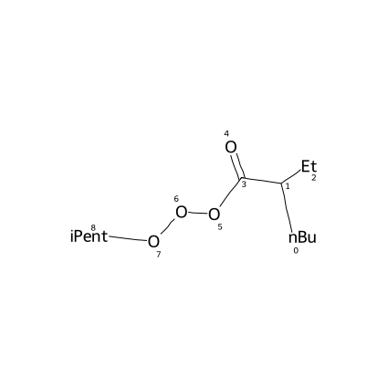 CCCCC(CC)C(=O)OOOC(C)CCC